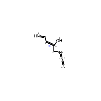 [N-]=[N+]=NC/C(O)=C/C=N